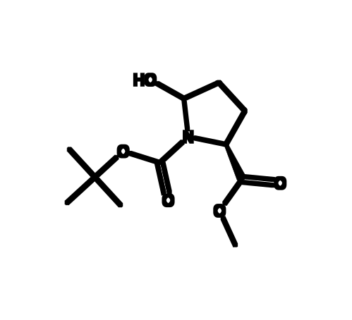 COC(=O)[C@@H]1CCC(O)N1C(=O)OC(C)(C)C